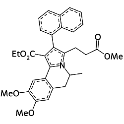 CCOC(=O)c1c(-c2cccc3ccccc23)c(CCC(=O)OC)n2c1-c1cc(OC)c(OC)cc1CC2C